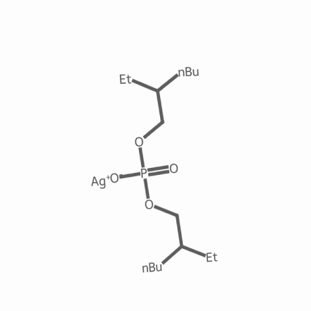 CCCCC(CC)COP(=O)([O-])OCC(CC)CCCC.[Ag+]